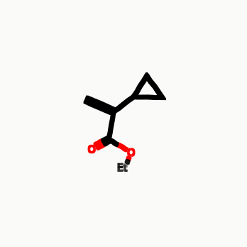 C=C(C(=O)OCC)C1CC1